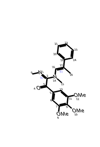 C/N=C(\C(=O)c1cc(OC)c(OC)c(OC)c1)N(C)/C=C(\C)c1ccccc1